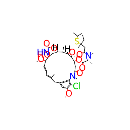 CCC(C)(CC(=O)N(C)[C@H](C)C(=O)O[C@H]1CC(=O)N(C)c2cc(cc(OC)c2Cl)C/C(C)=C/C=C/[C@@H](OC)[C@@]2(O)C[C@H](OC(=O)N2)[C@@H](C)[C@@H]2O[C@@]12C)SC(C)C